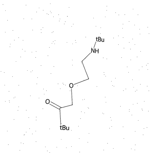 CC(C)(C)NCCOCC(=O)C(C)(C)C